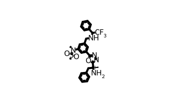 CN(c1cc(CNC(c2ccccc2)C(F)(F)F)cc(-c2nnc([C@](C)(N)Cc3ccccc3)o2)c1)S(C)(=O)=O